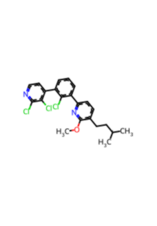 COc1nc(-c2cccc(-c3ccnc(Cl)c3Cl)c2Cl)ccc1CC[C](C)C